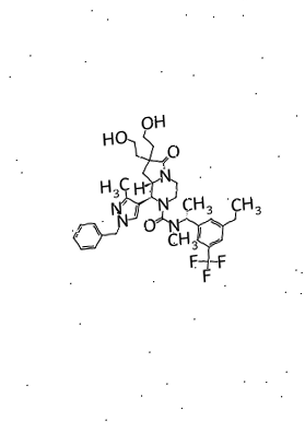 CCc1cc([C@@H](C)N(C)C(=O)N2CCN3C(=O)C(CCO)(CCO)C[C@H]3[C@@H]2c2cn(Cc3ccccc3)nc2C)cc(C(F)(F)F)c1